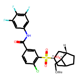 COC[C@]1(O)C2CC[C@H]1C[C@H](S(=O)(=O)c1cc(C(=O)Nc3cc(F)c(F)c(F)c3)ccc1Cl)C2